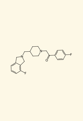 O=C(CN1CCC(CN2Cc3cccc(F)c3C2)CC1)c1ccc(F)cc1